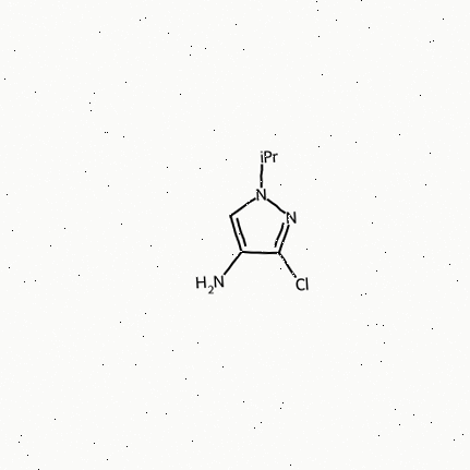 CC(C)n1cc(N)c(Cl)n1